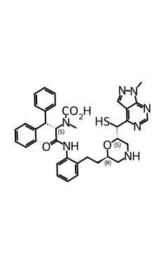 CN(C(=O)O)[C@H](C(=O)Nc1ccccc1CC[C@@H]1CNC[C@@H](C(S)c2ncnc3c2cnn3C)O1)C(c1ccccc1)c1ccccc1